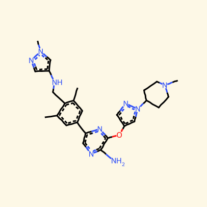 Cc1cc(-c2cnc(N)c(Oc3cnn(C4CCN(C)CC4)c3)n2)cc(C)c1CNc1cnn(C)c1